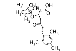 Cc1cc(C)c(/C=C/C(=O)C[C@H](CC(=O)O)O[Si](C)(C)C(C)(C)C)c(C)c1